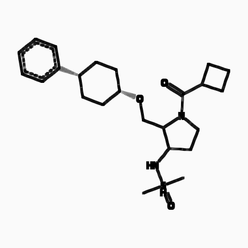 C[SH](C)(=O)NC1CCN(C(=O)C2CCC2)C1CO[C@H]1CC[C@@H](c2ccccc2)CC1